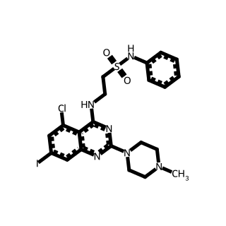 CN1CCN(c2nc(NCCS(=O)(=O)Nc3ccccc3)c3c(Cl)cc(I)cc3n2)CC1